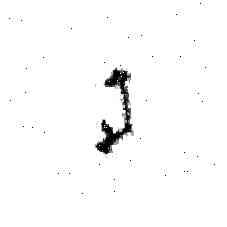 C=CC(=O)N1CCN(c2nc(NCCC(=O)N(C)CCOCCOCCOCCOCCNC(=O)CC3N=C(c4ccc(Cl)cc4)c4c(sc(C)c4C)-n4c(C)nnc43)nc3c(F)c(-c4cc(O)cc5ccccc45)c(Cl)cc23)CC1